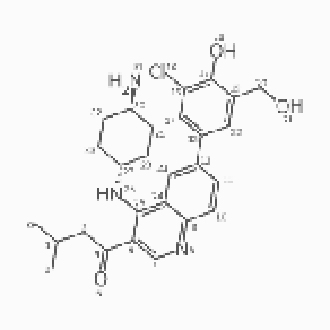 CC(C)CC(=O)c1cnc2ccc(-c3cc(Cl)c(O)c(CO)c3)cc2c1N[C@H]1CC[C@H](N)CC1